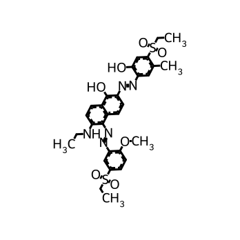 CCNc1ccc2c(O)c(/N=N/c3cc(C)c(S(=O)(=O)CC)cc3O)ccc2c1/N=N/c1cc(S(=O)(=O)CC)ccc1OC